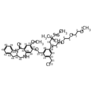 COCCOCCOCCN(CC(C)(C)SSC)c1cc(CCl)cc(COc2cc3c(cc2OC)C(=O)N2c4ccccc4CC2CN3)c1